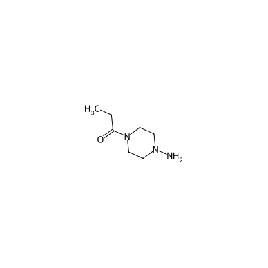 CCC(=O)N1CCN(N)CC1